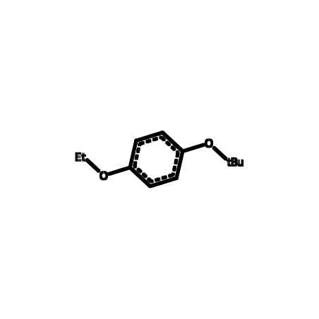 CCOc1ccc(OC(C)(C)C)cc1